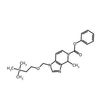 CC1c2ncn(COCC[Si](C)(C)C)c2C=CN1C(=O)Oc1ccccc1